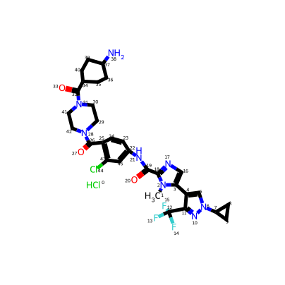 Cl.Cn1c(-c2cn(C3CC3)nc2C(F)(F)F)cnc1C(=O)Nc1ccc(C(=O)N2CCN(C(=O)C3CCC(N)CC3)CC2)c(Cl)c1